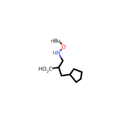 CCCCONCC(CC1CCCC1)C(=O)O